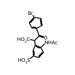 CC(=O)Nc1ccc(S(=O)(=O)O)cc1C(C(=O)O)C(=O)c1ccc(Br)cc1